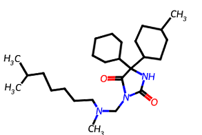 CC(C)CCCCCN(C)CN1C(=O)NC(C2CCCCC2)(C2CCC(C)CC2)C1=O